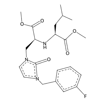 COC(=O)[C@H](CC(C)C)N[C@@H](Cn1ccn(Cc2cccc(F)c2)c1=O)C(=O)OC